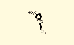 O=C(O)c1ccc(OCCCC(F)(F)F)nc1